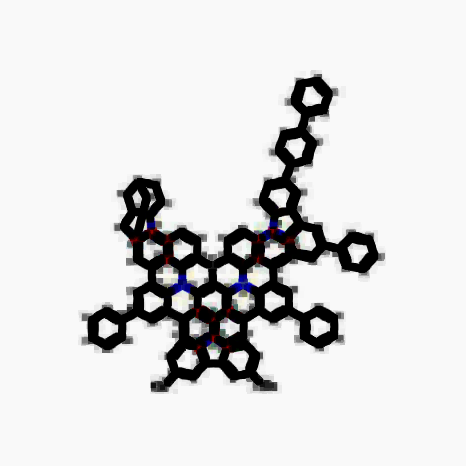 CC(C)(C)c1ccc2c(c1)c1cc(C(C)(C)C)ccc1n2-c1cc2c3c(c1)N(c1c(-c4ccccc4)cc(-c4ccccc4)cc1-c1ccccc1)c1cc(-n4c5ccc(-c6ccccc6)cc5c5cc(-c6ccc(-c7ccccc7)cc6)ccc54)ccc1B3c1ccc(N3C4CC5CCC3C(C5)C4)cc1N2c1c(-c2ccccc2)cc(-c2ccccc2)cc1-c1ccccc1